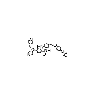 O=C1Nc2cc(CCOc3ccc(N4CCOCC4)cc3)ccc2Nc2cc(-c3cn(Cc4ccncc4)c4cnccc34)ccc21